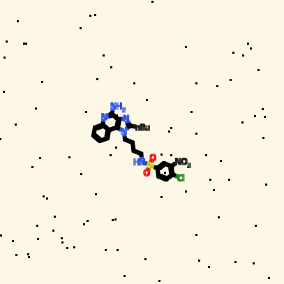 CCCCc1nc2c(N)nc3ccccc3c2n1CCCCNS(=O)(=O)c1ccc(Cl)c([N+](=O)[O-])c1